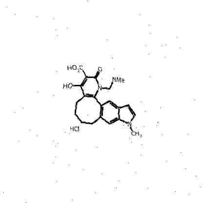 CNCn1c2c(c(O)c(C(=O)O)c1=O)CCCCc1cc3c(ccn3C)cc1-2.Cl